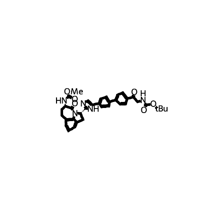 COC(=O)N[C@H]1CCc2cccc3c2N(C1=O)[C@H](c1ncc(-c2ccc(-c4ccc(C(=O)CNC(=O)OC(C)(C)C)cc4)cc2)[nH]1)C3